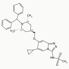 C[C@@H]1C[C@@H](COc2cc3nnc(NS(C)(=O)=O)n3cc2C2CC2)C[C@H](C)N1C(c1ccccc1)c1ccccc1